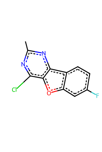 Cc1nc(Cl)c2oc3cc(F)ccc3c2n1